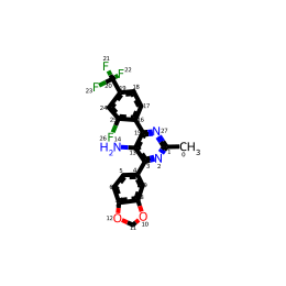 Cc1nc(-c2ccc3c(c2)OCO3)c(N)c(-c2ccc(C(F)(F)F)cc2F)n1